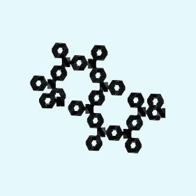 c1ccc(N(c2ccc(N(c3ccccc3)c3ccc(N(c4ccccc4)c4ccc(N(c5ccccc5)c5ccc(N(c6ccccc6)c6ccnc7ccccc67)cc5)cc4)cc3)cc2)c2ccc(N(c3ccccc3)c3ccc(N(c4ccccc4)c4ccc(N(c5ccccc5)c5ccnc6ccccc56)cc4)cc3)cc2)cc1